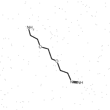 N=NCCOCCOCCN